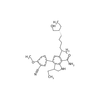 CCC1CNc2c(C(N)=O)c(C(C)CCCC[C@@H](CC)CO)cc(-c3ccc(OC)c(C#N)c3)c21